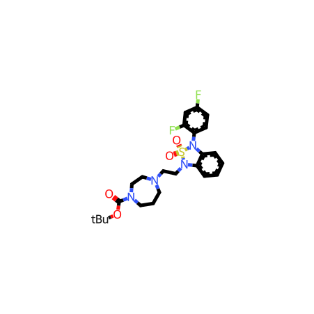 CC(C)(C)OC(=O)N1CCCN(CCN2c3ccccc3N(c3ccc(F)cc3F)S2(=O)=O)CC1